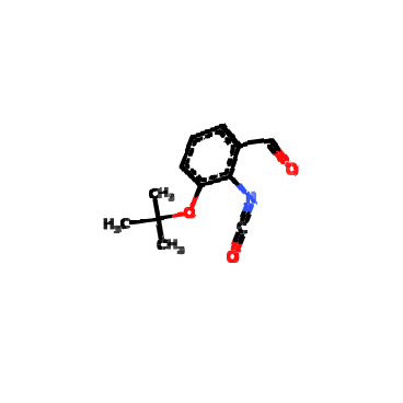 CC(C)(C)Oc1cccc(C=O)c1N=C=O